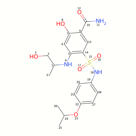 CC(CO)Nc1cc(O)c(C(N)=O)cc1S(=O)(=O)Nc1ccc(OC(C)C)cc1